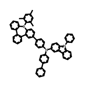 Cc1cc(C)c(B2c3ccccc3-c3ccccc3-c3cc(-c4ccc(N(c5ccc(-c6ccccc6)cc5)c5ccc6c(c5)c5ccccc5n6-c5ccccc5)cc4)ccc32)c(C)c1